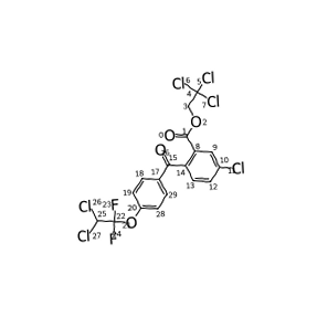 O=C(OCC(Cl)(Cl)Cl)c1cc(Cl)ccc1C(=O)c1ccc(OC(F)(F)C(Cl)Cl)cc1